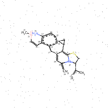 C=C(C)C1CSC2=C(C3CC3)C(Cc3cccc(N)c3/C=C\BC)=CC(=C)N21